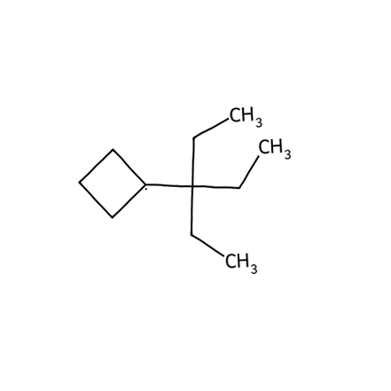 CCC(CC)(CC)[C]1CCC1